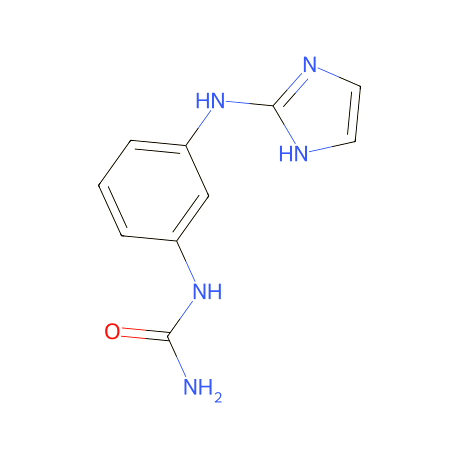 NC(=O)Nc1cccc(Nc2ncc[nH]2)c1